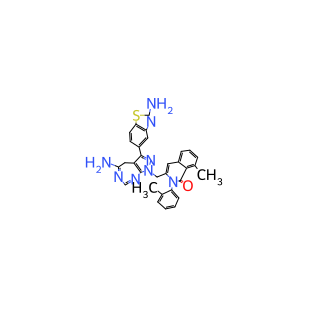 Cc1ccccc1-n1c(Cn2nc(-c3ccc4sc(N)nc4c3)c3c2N=CN=C(N)C3)cc2cccc(C)c2c1=O